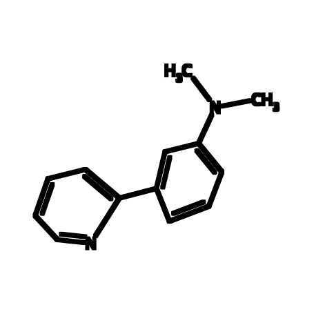 CN(C)c1cccc(-c2ccccn2)c1